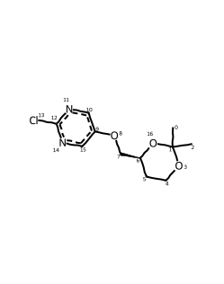 CC1(C)OCC[C@@H](COc2cnc(Cl)nc2)O1